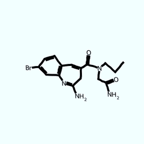 CCCN(CC(N)=O)C(=O)C1=Cc2ccc(Br)cc2N=C(N)C1